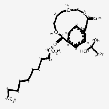 CCCC(O)O.O=C(O)CCCCCCCCC(=O)O.O=C1OCCCCOC(=O)c2ccc1cc2